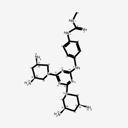 CNC(=N)Nc1ccc(Nc2nc(N3C[C@H](N)C[C@H](N)C3)nc(N3C[C@H](N)C[C@H](N)C3)n2)cc1